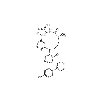 CN/C1=C(\C=N)NC(=O)C(C)CCCC(n2cnc(-c3cc(Cl)ccc3-c3ccccc3)cc2=O)c2cc1ccn2